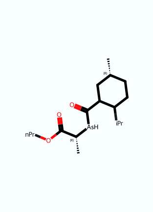 CCCOC(=O)[C@@H](C)[AsH]C(=O)C1C[C@H](C)CCC1C(C)C